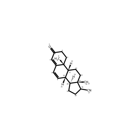 C[C@]12CCC(=O)C=C1C=C[C@@H]1[C@H]2CC[C@]2(C)C(C#N)CC[C@@H]12